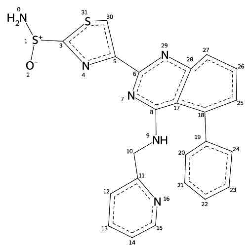 N[S+]([O-])c1nc(-c2nc(NCc3ccccn3)c3c(-c4ccccc4)cccc3n2)cs1